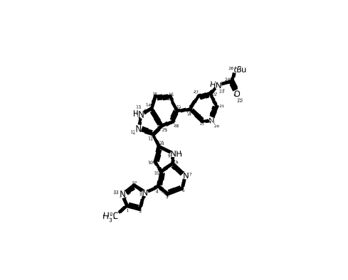 Cc1cn(-c2ccnc3[nH]c(-c4n[nH]c5ccc(-c6cncc(NC(=O)C(C)(C)C)c6)cc45)cc23)cn1